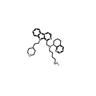 NCCCCN(Cc1nccc2c3ccccc3n(CCC3CCOCC3)c12)[C@H]1CCCc2cccnc21